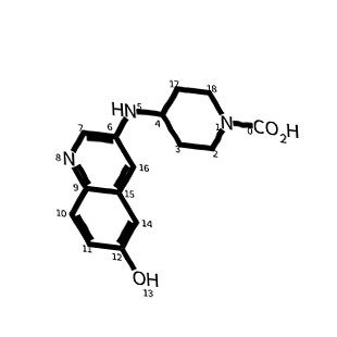 O=C(O)N1CCC(Nc2cnc3ccc(O)cc3c2)CC1